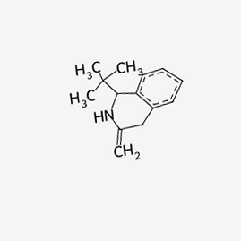 C=C1Cc2ccccc2C(C(C)(C)C)N1